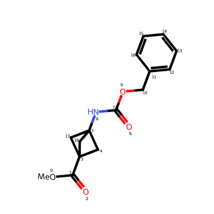 COC(=O)C12CC(NC(=O)OCc3ccccc3)(C1)C2